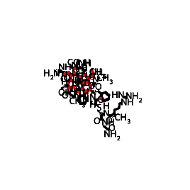 CC(=O)[C@H](CC(=O)O)NC(=O)[C@@H]1CCCN1C(=O)[C@H](CCCNC(=N)N)NC(=O)[C@H](C)N(C)C(=O)[C@H](Cc1c[nH]c2ccccc12)NC(=O)[C@H](Cc1cnc[nH]1)NC(=O)[C@H](CC(C)C)NC(=O)[C@H](CO)NC(=O)[C@H](C)N(C)C(=O)[C@H](CCCCN)NC(=O)[C@H](Cc1ccccc1)NC(=O)CSC[C@H](NC(=O)[C@@H](C)CCCNC(=N)N)C(=O)NCC(N)=O